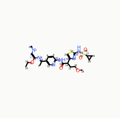 C=N/C=C(\N=C(/C)c1ccc(NC(=O)C(CCOC)c2csc(NS(=O)(=O)C3CC3)n2)nc1)OCC